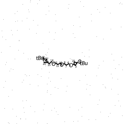 CC(C)(C)OC1CC(OCCCOCCCOCCC2CN(C(C)(C)C)C2)C1